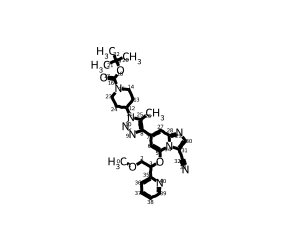 COCC(Oc1cc(-c2nnn(C3CCN(C(=O)OC(C)(C)C)CC3)c2C)cc2ncc(C#N)n12)c1ccccn1